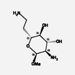 CO[C@H]1O[C@H](CCN)[C@@H](O)[C@H](O)[C@H]1N